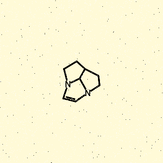 C1=CN2CCC3CCN1C32